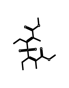 CCC(=C(C)C(=O)OC)S(=O)(=O)C(CC)=C(C)C(=O)OC